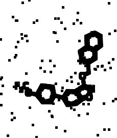 FC(F)(F)Oc1ccc(-c2ccc3onc(OCc4cc5ccccc5cn4)c3c2)cc1